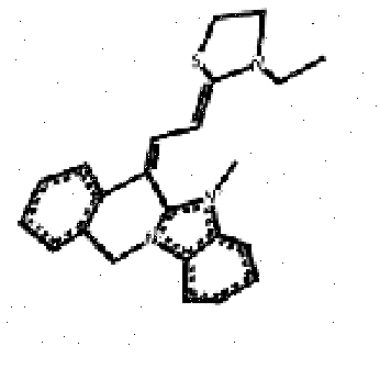 CCN1CCSC1=CC=C1c2ccccc2Cn2c1[n+](C)c1ccccc12